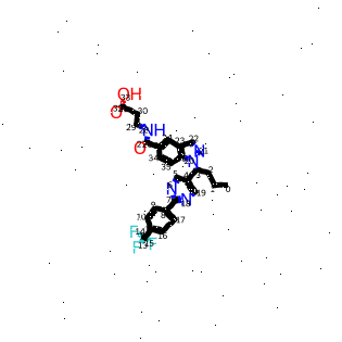 CCCC(c1cnc(-c2ccc(C(F)(F)F)cc2)nc1)n1ncc2cc(C(=O)NCCC(=O)O)ccc21